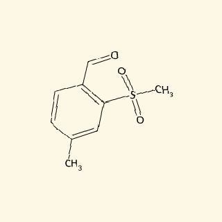 Cc1ccc(C=O)c(S(C)(=O)=O)c1